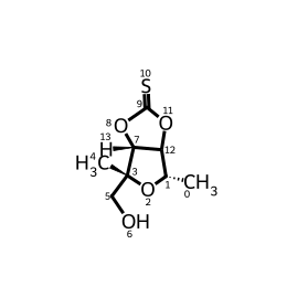 C[C@@H]1O[C@](C)(CO)[C@@H]2OC(=S)OC12